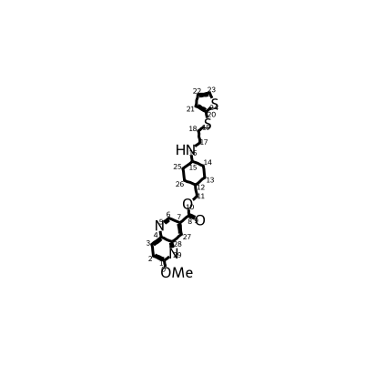 COc1ccc2ncc(C(=O)OCC3CCC(NCCSc4cccs4)CC3)cc2n1